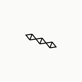 C1C2C1C21C2C1C21C2CC21